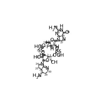 C#C[C@@]12COP(O)(=S)O[C@@H]3[C@H](F)[C@@H](COP(O)(=S)O[C@H]1[C@@H](O)[C@H](n1ccc4c(N)ccnc41)O2)O[C@H]3n1cnc2c(=O)[nH]c(N)nc21